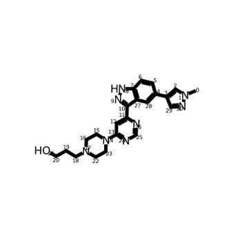 Cn1cc(-c2ccc3[nH]nc(-c4cc(N5CCN(CCCO)CC5)ncn4)c3c2)cn1